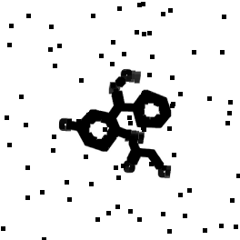 O=C(CCl)Nc1ccc(Cl)cc1C(=NO)c1ccccc1